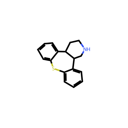 c1ccc2c(c1)Sc1ccccc1C1CNCCC21